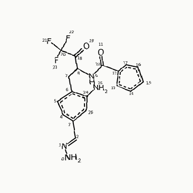 NN=Cc1ccc(CC(NC(=O)c2ccccc2)C(=O)C(F)(F)F)c(N)c1